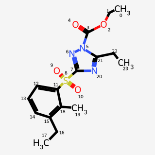 CCOC(=O)n1nc(S(=O)(=O)c2cccc(CC)c2C)nc1CC